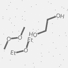 CCOCC.COOC.OCCO